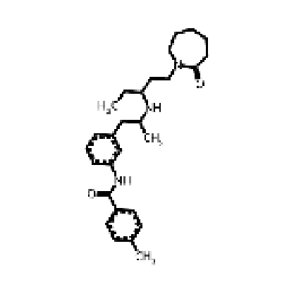 CCC(CCN1CCCCCC1=O)NC(C)Cc1cccc(NC(=O)c2ccc(C)cc2)c1